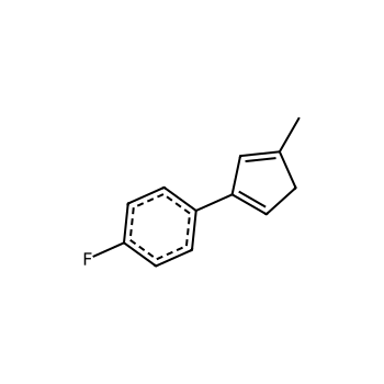 CC1=CC(c2ccc(F)cc2)=CC1